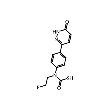 O=C(S)N(CCF)c1ccc(-c2ccc(=O)[nH]n2)cc1